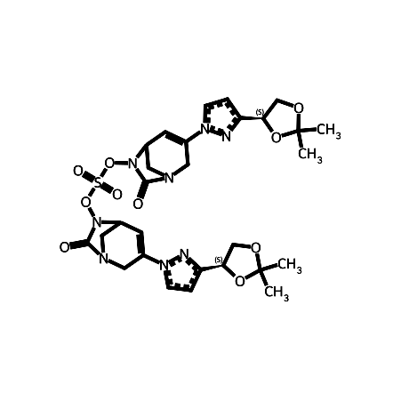 CC1(C)OC[C@H](c2ccn(C3=CC4CN(C3)C(=O)N4OS(=O)(=O)ON3C(=O)N4CC(n5ccc([C@H]6COC(C)(C)O6)n5)=CC3C4)n2)O1